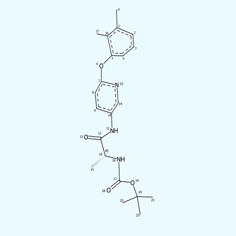 Cc1cccc(Oc2ccc(NC(=O)[C@@H](C)NC(=O)OC(C)(C)C)cn2)c1C